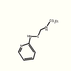 CCOC(=O)NCSNc1ccccn1